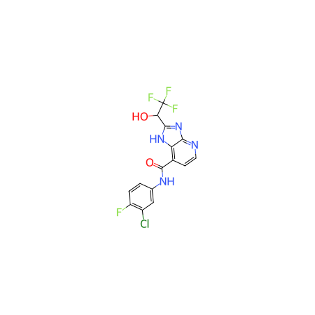 O=C(Nc1ccc(F)c(Cl)c1)c1ccnc2nc(C(O)C(F)(F)F)[nH]c12